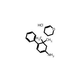 C1=COCCC1.CC1(C)CC(N)=CC=C1c1ccccc1.Cl